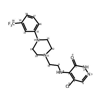 O=c1[nH]ncc(Cl)c1NCCN1CCN(c2cccc(C(F)(F)F)c2)CC1